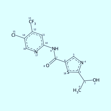 CC(O)c1ncc(C(=O)Nc2cc(C(F)(F)F)c(Cl)cn2)s1